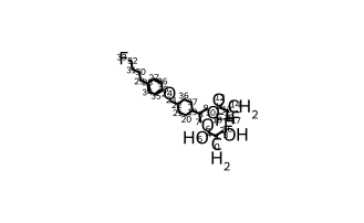 C=C(CO)C(O)OCC(COC(=O)C(=C)C(F)(F)F)C1CCC(COc2ccc(CCCCF)cc2)CC1